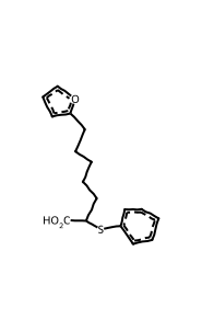 O=C(O)C(CCCCCc1ccco1)Sc1ccccc1